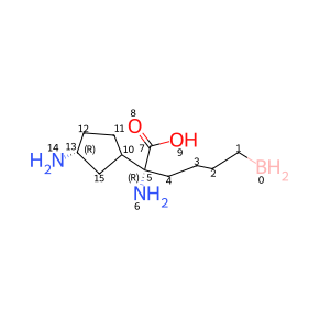 BCCCC[C@](N)(C(=O)O)C1CC[C@@H](N)C1